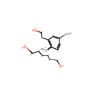 O=C(O)c1ccc(C(=O)O)c(CCO)c1.OCCCCCCO